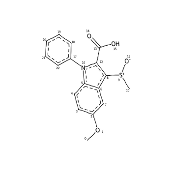 COc1ccc2c(c1)c([S+](C)[O-])c(C(=O)O)n2-c1ccccc1